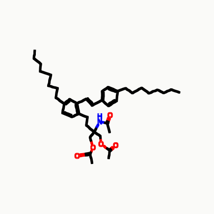 CCCCCCCCc1ccc(C=Cc2cc(CCCCCCCC)ccc2CCC(COC(C)=O)(COC(C)=O)NC(C)=O)cc1